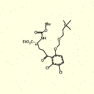 CCOC(=O)[C@@H](CCC(=O)c1c(OCOCC[Si](C)(C)C)ccc(Cl)c1Cl)NC(=O)OC(C)(C)C